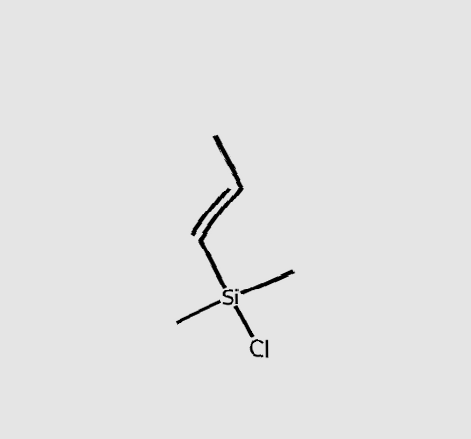 CC=C[Si](C)(C)Cl